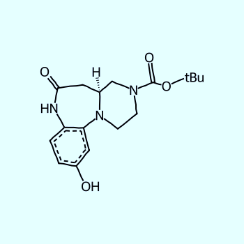 CC(C)(C)OC(=O)N1CCN2c3cc(O)ccc3NC(=O)C[C@H]2C1